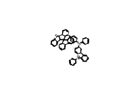 c1ccc(N(c2ccc(-c3cccc4c3C3(c5ccccc5-c5ccccc53)c3c-4sc4ccccc34)cc2)c2ccc3c(c2)c2ccccc2n3-c2ccccc2)cc1